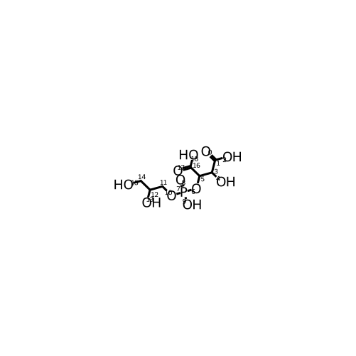 O=C(O)C(O)C(OP(=O)(O)OCC(O)CO)C(=O)O